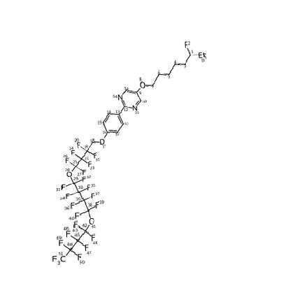 CC[C@@H](F)CCCCCOc1cnc(-c2ccc(OCC(F)(F)C(F)(F)C(F)(F)OC(F)(F)C(F)(F)C(F)(F)C(F)(F)OC(F)(F)C(F)(F)C(F)(F)C(F)(F)F)cc2)nc1